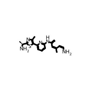 C=C(/C=C(C)\C=C/N)Nc1cccc(-c2sc([C@H](C)N)nc2C)n1